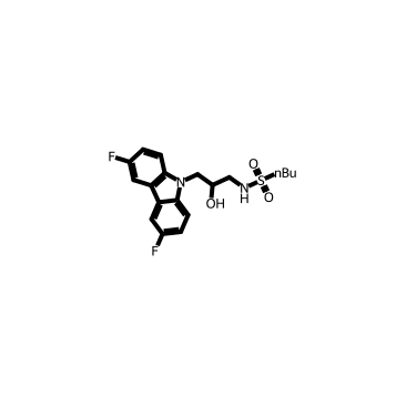 CCCCS(=O)(=O)NCC(O)Cn1c2ccc(F)cc2c2cc(F)ccc21